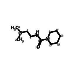 CN(C)CCNC(=O)N1CCCCC1